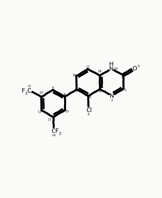 O=c1cnc2c(Cl)c(-c3cc(C(F)(F)F)cc(C(F)(F)F)c3)ccc2[nH]1